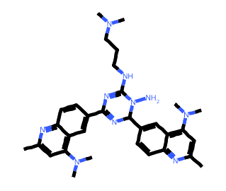 Cc1cc(N(C)C)c2cc(C3=NC(c4ccc5nc(C)cc(N(C)C)c5c4)N(N)C(NCCCN(C)C)=N3)ccc2n1